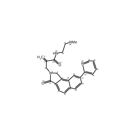 C=C(CN1Cc2c(ccc3ccc(-c4ccccn4)cc23)C1=O)C(=O)NCCNC